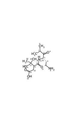 CC(C)C(=O)[C@H](CCN)NC(=O)C(CC(=O)O)C(C)(C)C